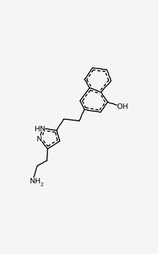 NCCc1cc(CCc2cc(O)c3ccccc3c2)[nH]n1